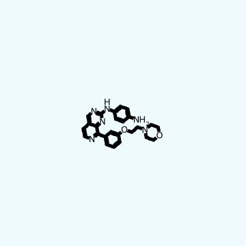 Nc1ccc(Nc2ncc3ccnc(-c4cccc(OCCN5CCOCC5)c4)c3n2)cc1